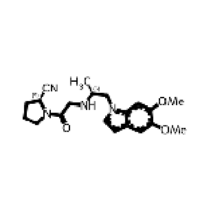 COc1cc2ccn(C[C@H](C)NCC(=O)N3CCC[C@H]3C#N)c2cc1OC